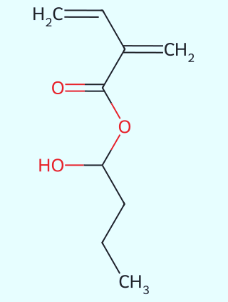 C=CC(=C)C(=O)OC(O)CCC